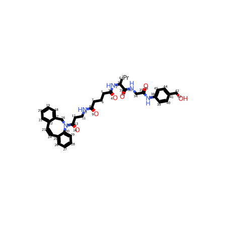 CC(C)C(NC(=O)CCCC(=O)NCCC(=O)N1Cc2ccccc2C#Cc2ccccc21)C(=O)NCC(=O)Nc1ccc(CO)cc1